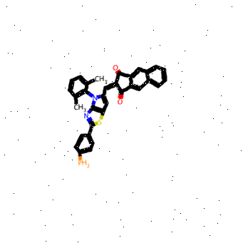 Cc1cccc(C)c1-n1c(C=C2C(=O)c3cc4ccccc4cc3C2=O)cc2sc(-c3ccc(P)cc3)nc21